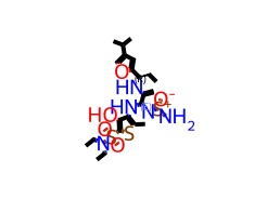 C=C(N[C@H](CC)c1cc(C(C)C)co1)/C(=N\[S+](N)[O-])Nc1c(C)sc(S(=O)(=O)N(CC)CC)c1O